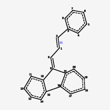 C(/C=C/c1ccccc1)=C1c2ccccc2-c2ccccc21